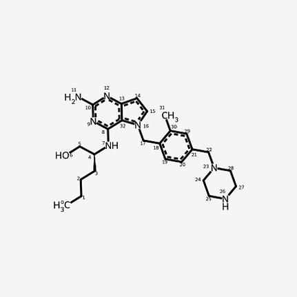 CCCC[C@@H](CO)Nc1nc(N)nc2ccn(Cc3ccc(CN4CCNCC4)cc3C)c12